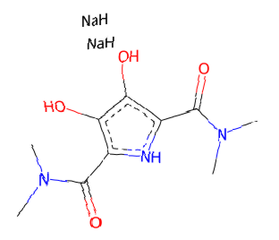 CN(C)C(=O)c1[nH]c(C(=O)N(C)C)c(O)c1O.[NaH].[NaH]